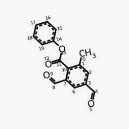 Cc1cc(C=O)cc(C=O)c1C(=O)Oc1ccccc1